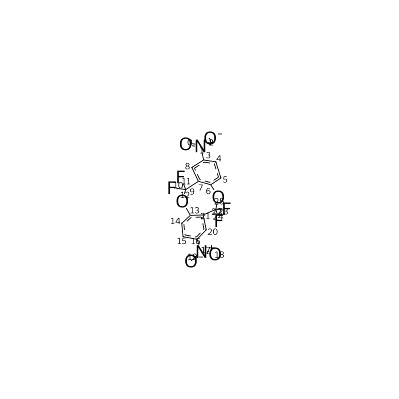 O=[N+]([O-])c1ccc2c(c1)C(F)(F)Oc1ccc([N+](=O)[O-])cc1C(F)(F)O2